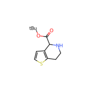 CC(C)(C)OC(=O)C1NCCc2sccc21